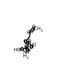 CC(=O)N1CCN(C(=O)CCCC#Cc2cccc3nc(Cn4nc(-c5ccc(O)cc5)c5c(N)ncnc54)n(Cc4ccccc4Cl)c(=O)c23)CC1